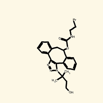 CC(C)CCNC(=O)OC1Cc2ccccc2-c2nnn(C(C)(C)CCO)c2-c2ccccc21